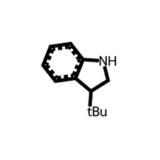 CC(C)(C)C1CNc2ccccc21